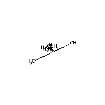 CCCCCCCCCCCCCCCCC(CCCCCCCCCCCCCCCC)C(O)CN.COS(=O)(=O)O